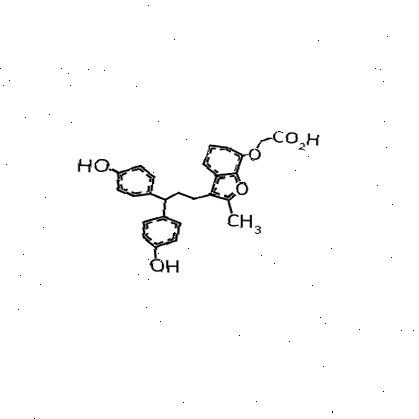 Cc1oc2c(OCC(=O)O)cccc2c1CCC(c1ccc(O)cc1)c1ccc(O)cc1